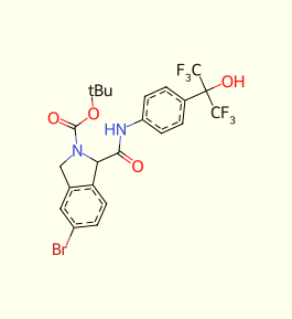 CC(C)(C)OC(=O)N1Cc2cc(Br)ccc2C1C(=O)Nc1ccc(C(O)(C(F)(F)F)C(F)(F)F)cc1